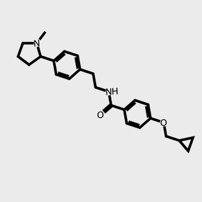 CN1CCCC1c1ccc(CCNC(=O)c2ccc(OCC3CC3)cc2)cc1